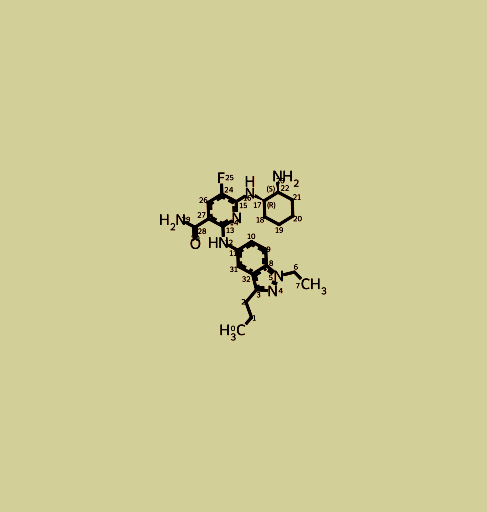 CCCc1nn(CC)c2ccc(Nc3nc(N[C@@H]4CCCC[C@@H]4N)c(F)cc3C(N)=O)cc12